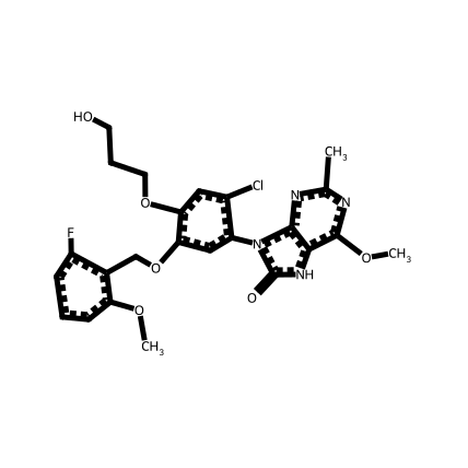 COc1cccc(F)c1COc1cc(-n2c(=O)[nH]c3c(OC)nc(C)nc32)c(Cl)cc1OCCCO